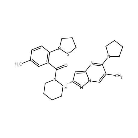 Cc1ccc(N2CCCS2)c(C(=O)N2CCCC[C@H]2c2cc3nc(N4CCCC4)c(C)cn3n2)c1